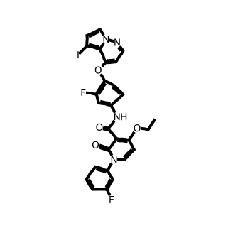 CCOc1ccn(-c2cccc(F)c2)c(=O)c1C(=O)Nc1ccc(Oc2ccnn3ccc(I)c23)c(F)c1